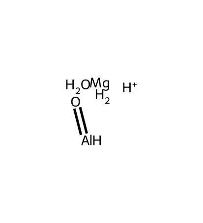 O.[H+].[MgH2].[O]=[AlH]